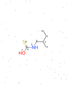 CCC(C)CNC(O)=S